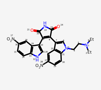 CCN(CC)CCn1cc(C2=C(c3c[nH]c4ccc([N+](=O)[O-])cc34)C(=O)NC2=O)c2cc([N+](=O)[O-])ccc21